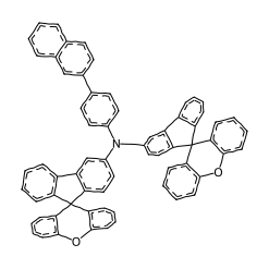 c1ccc2c(c1)Oc1ccccc1C21c2ccccc2-c2cc(N(c3ccc(-c4ccc5ccccc5c4)cc3)c3ccc4c(c3)-c3ccccc3C43c4ccccc4Oc4ccccc43)ccc21